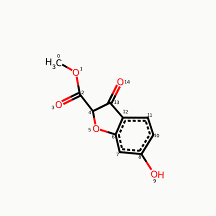 COC(=O)C1Oc2cc(O)ccc2C1=O